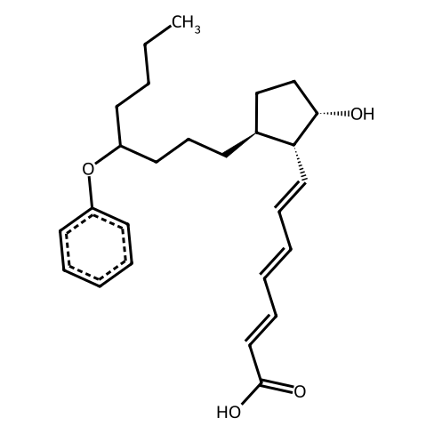 CCCCC(CCC[C@H]1CC[C@H](O)[C@@H]1C=CC=CC=CC(=O)O)Oc1ccccc1